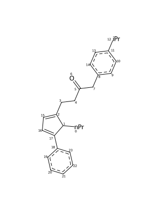 CCCC1C(CCC(=O)Cc2ccc(C(C)C)cc2)=CC=C1c1ccccc1